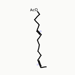 C/C=C\CCCC/C=C/CCCOC(C)=O